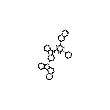 c1ccc(-c2nc(-c3ccc4ccccc4c3)nc(-n3c4ccccc4c4cc(-n5c6ccccc6c6c7ccccc7ccc65)ccc43)n2)cc1